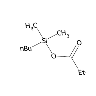 C[CH]C(=O)O[Si](C)(C)CCCC